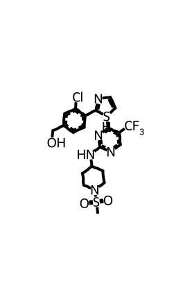 CS(=O)(=O)N1CCC(Nc2ncc(C(F)(F)F)c([SH]3C=CN=C3c3ccc(CO)cc3Cl)n2)CC1